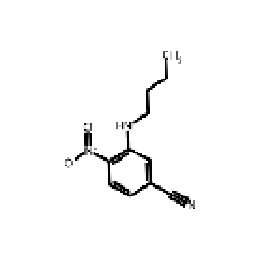 CCCCNc1cc(C#N)ccc1[N+](=O)[O-]